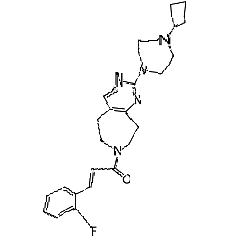 O=C(C=Cc1ccccc1F)N1CCc2cnc(N3CCN(C4CCC4)CC3)nc2CC1